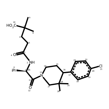 CC(C)[C@@H](NC(=O)CCC(C)(C)C(=O)O)C(=O)N1CCC(c2ccc(Cl)cc2)C(C)(C)C1